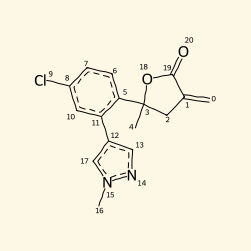 C=C1CC(C)(c2ccc(Cl)cc2-c2cnn(C)c2)OC1=O